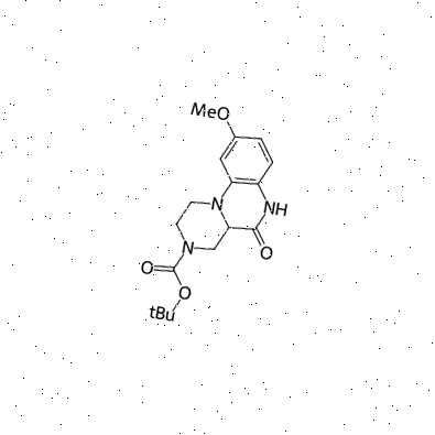 COc1ccc2c(c1)N1CCN(C(=O)OC(C)(C)C)CC1C(=O)N2